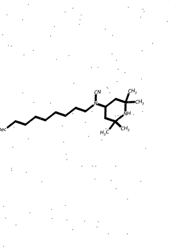 CCCCCCCCCCCCCCCCCCN(C#N)C1CC(C)(C)NC(C)(C)C1